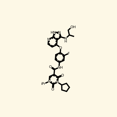 CC(CO)Nc1n[nH]c2nccc(Oc3ccc(NC(=O)c4cn(C(C)C)c(=O)n(C5CCCC5)c4=O)cc3F)c12